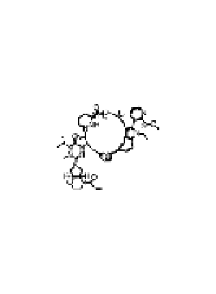 C=CC(=O)N1CCO[C@H]2CN(C(=O)N(C)[C@H](C(=O)N[C@H]3Cc4nc(cs4)-c4ccc5c(c4)c(c(-c4cccnc4[C@H](C)OC)n5CC)CC(C)(C)COC(=O)[C@@]4([SiH3])CCCN(N4)C3=O)C(C)C)C[C@@H]21